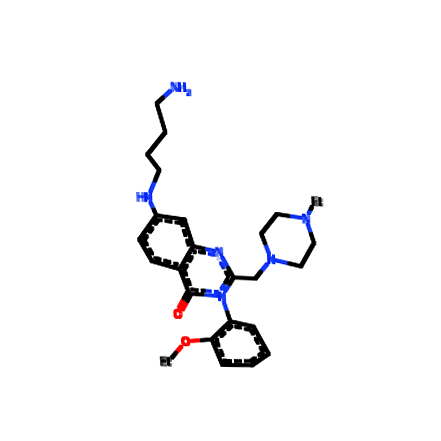 CCOc1ccccc1-n1c(CN2CCN(CC)CC2)nc2cc(NCCCCN)ccc2c1=O